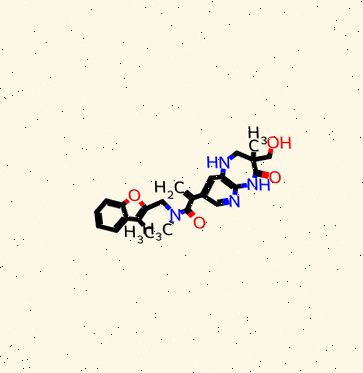 C=C(C(=O)N(C)Cc1oc2ccccc2c1C)c1cnc2c(c1)NCC(C)(CO)C(=O)N2